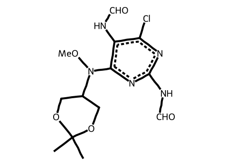 CON(c1nc(NC=O)nc(Cl)c1NC=O)C1COC(C)(C)OC1